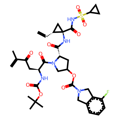 C=C[C@@H]1C[C@]1(NC(=O)[C@@H]1CC(OC(=O)N2Cc3cccc(F)c3C2)CN1C(=O)[C@H](CC(=O)C(=C)C)NC(=O)OC(C)(C)C)C(=O)NS(=O)(=O)C1CC1